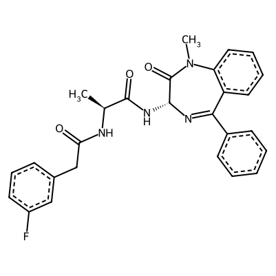 C[C@H](NC(=O)Cc1cccc(F)c1)C(=O)N[C@H]1N=C(c2ccccc2)c2ccccc2N(C)C1=O